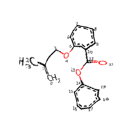 C=C(C)COc1ccccc1C(=O)Oc1ccccc1